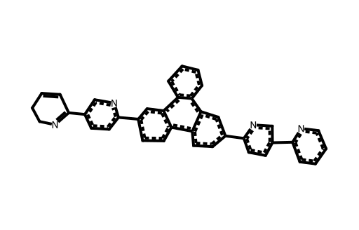 C1=CC(c2ccc(-c3ccc4c5ccc(-c6ccc(-c7ccccn7)cn6)cc5c5ccccc5c4c3)nc2)=NCC1